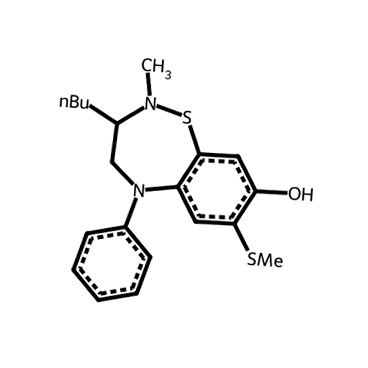 CCCCC1CN(c2ccccc2)c2cc(SC)c(O)cc2SN1C